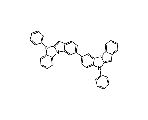 c1ccc(-n2c3ccccc3n3c4cc(-c5ccc6c(c5)n5c7ccccc7cc5n6-c5ccccc5)ccc4cc23)cc1